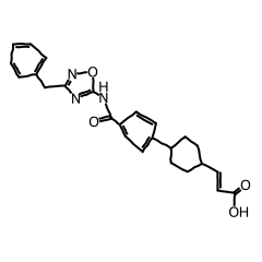 O=C(O)/C=C/C1CCC(c2ccc(C(=O)Nc3nc(Cc4ccccc4)no3)cc2)CC1